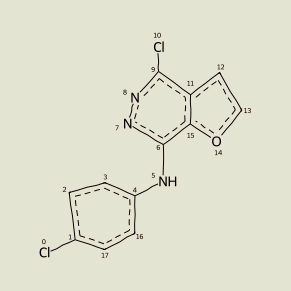 Clc1ccc(Nc2nnc(Cl)c3ccoc23)cc1